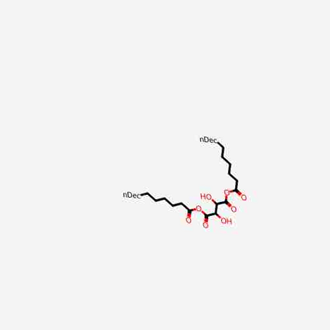 CCCCCCCCCCCCCCCC(=O)OC(=O)C(O)C(O)C(=O)OC(=O)CCCCCCCCCCCCCCC